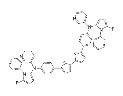 Fc1ccc(N(c2ccc(-c3ccc(-c4ccc(-c5ccc(N(c6cccnc6)c6ccc(F)n6-c6ccccc6)cc5)s4)s3)cc2)c2cccnc2)n1-c1ccccc1